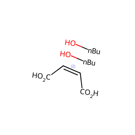 CCCCO.CCCCO.O=C(O)/C=C\C(=O)O